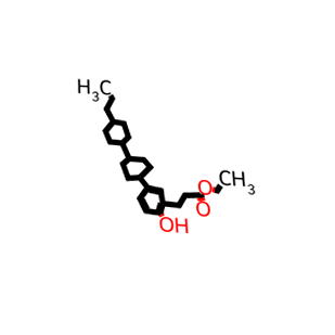 CCCC1CCC(C2CCC(c3ccc(O)c(CCC(=O)OCC)c3)CC2)CC1